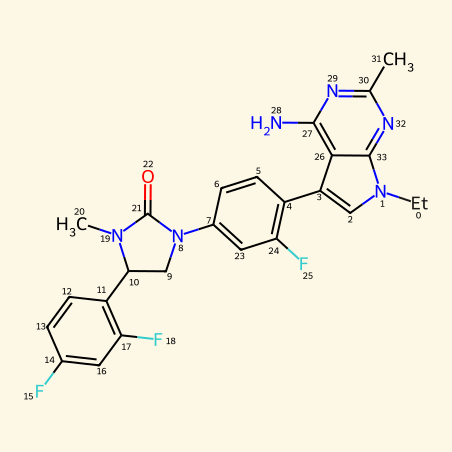 CCn1cc(-c2ccc(N3CC(c4ccc(F)cc4F)N(C)C3=O)cc2F)c2c(N)nc(C)nc21